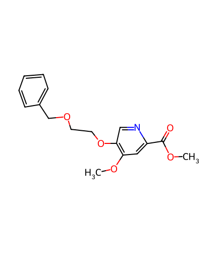 COC(=O)c1cc(OC)c(OCCOCc2ccccc2)cn1